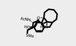 CSCC[C@H](NC(C)=O)C(=O)N[C@H]1C2CCCCC[C@]1(C)c1cc(O)ccc1C2